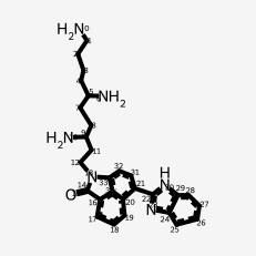 NCCCCC(N)CCC(N)CCN1C(=O)c2cccc3c(-c4nc5ccccc5[nH]4)ccc1c23